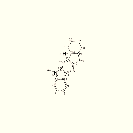 Cn1c2ccccc2c2cc3c(cc21)[C@H]1CCCCC1C3